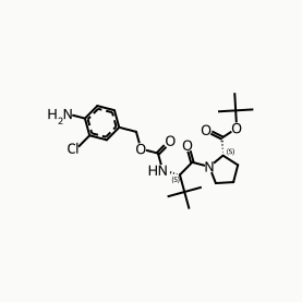 CC(C)(C)OC(=O)[C@@H]1CCCN1C(=O)[C@@H](NC(=O)OCc1ccc(N)c(Cl)c1)C(C)(C)C